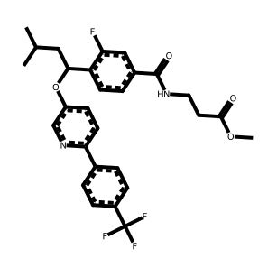 COC(=O)CCNC(=O)c1ccc(C(CC(C)C)Oc2ccc(-c3ccc(C(F)(F)F)cc3)nc2)c(F)c1